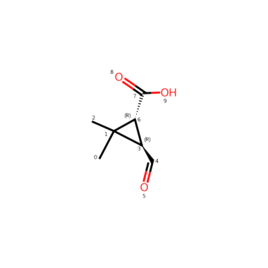 CC1(C)[C@H](C=O)[C@H]1C(=O)O